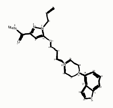 C=CCn1nc(C(=O)NC)cc1OCCCN1CCN(c2cccc3sccc23)CC1